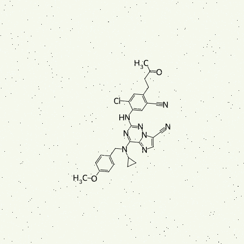 COc1ccc(CN(c2nc(Nc3cc(C#N)c(CCC(C)=O)cc3Cl)nn3c(C#N)cnc23)C2CC2)cc1